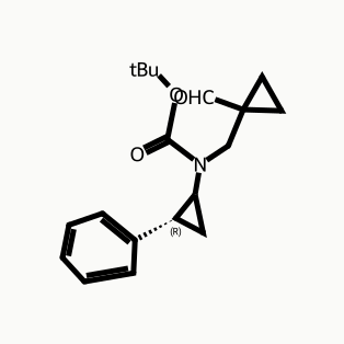 CC(C)(C)OC(=O)N(CC1(C=O)CC1)C1C[C@@H]1c1ccccc1